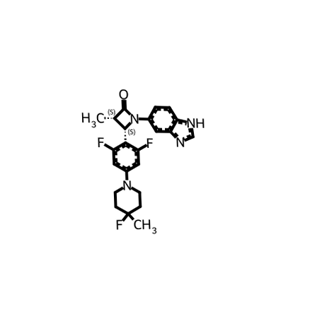 C[C@@H]1C(=O)N(c2ccc3[nH]cnc3c2)[C@@H]1c1c(F)cc(N2CCC(C)(F)CC2)cc1F